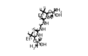 CCC(C)(C)C(NC(=S)NCNC(=S)NC(OP(N)(=O)O)C(C)(C)CC)OP(N)(=O)O